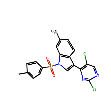 Cc1ccc(S(=O)(=O)n2cc(-c3nc(Cl)ncc3Cl)c3ccc([N+](=O)[O-])cc32)cc1